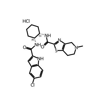 CN1CCc2sc(C(=O)N[C@H]3CCCC[C@H]3NC(=O)c3cc4cc(Cl)ccc4[nH]3)nc2C1.Cl